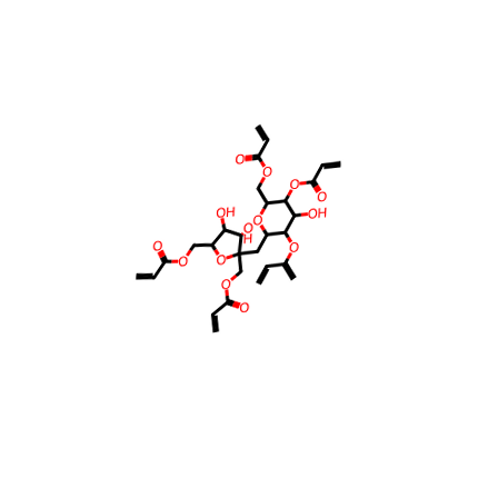 C=CC(=C)OC1C(CC2(COC(=O)C=C)OC(COC(=O)C=C)C(O)C2O)OC(COC(=O)C=C)C(OC(=O)C=C)C1O